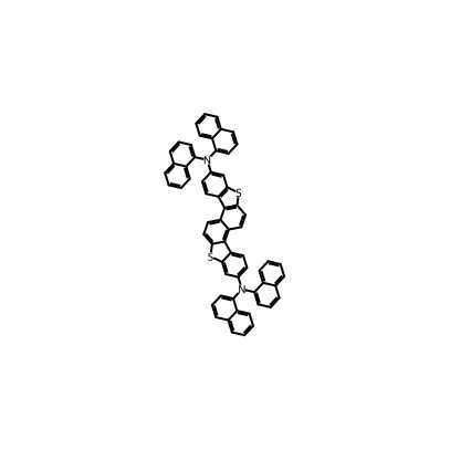 c1ccc2c(N(c3ccc4c(c3)sc3ccc5c(ccc6sc7cc(N(c8cccc9ccccc89)c8cccc9ccccc89)ccc7c65)c34)c3cccc4ccccc34)cccc2c1